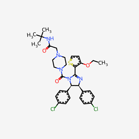 CCOc1ccsc1C1=N[C@@H](c2ccc(Cl)cc2)[C@@H](c2ccc(Cl)cc2)N1C(=O)N1CCN(CC(=O)NC(C)(C)C)CC1